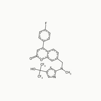 CN(Cc1ccc2c(-c3ccc(F)cc3)cc(=O)oc2c1)c1ncc(C(O)(C(F)(F)F)C(F)(F)F)s1